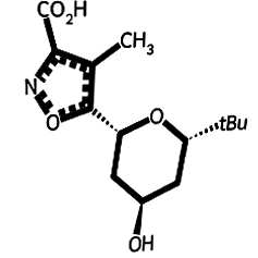 Cc1c(C(=O)O)noc1[C@H]1C[C@H](O)C[C@@H](C(C)(C)C)O1